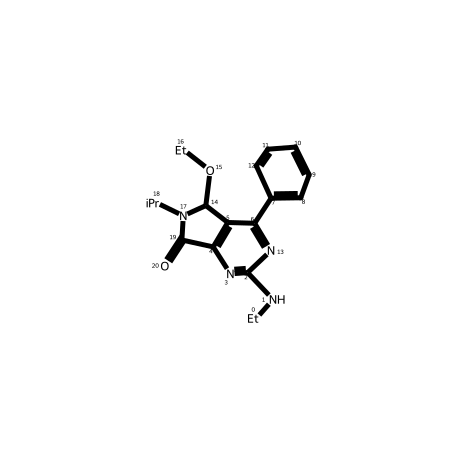 CCNc1nc2c(c(-c3ccccc3)n1)C(OCC)N(C(C)C)C2=O